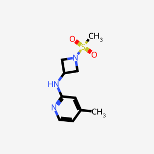 Cc1ccnc(NC2CN(S(C)(=O)=O)C2)c1